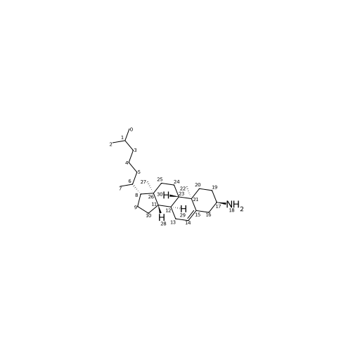 CC(C)CCCC(C)[C@H]1CC[C@H]2[C@@H]3CC=C4C[C@H](N)CC[C@]4(C)[C@H]3CC[C@]12C